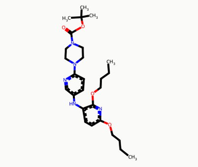 CCCCOc1ccc(Nc2ccc(N3CCN(C(=O)OC(C)(C)C)CC3)nc2)c(OCCCC)n1